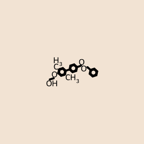 Cc1cc(-c2ccc(C(=O)OCc3ccccc3)cc2)c(C)cc1OCCO